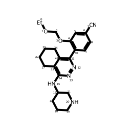 CCOCOc1cc(C#N)ccc1-c1nnc(NC2CCCNC2)c2c1CCCC2